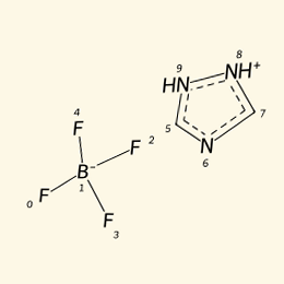 F[B-](F)(F)F.c1nc[nH+][nH]1